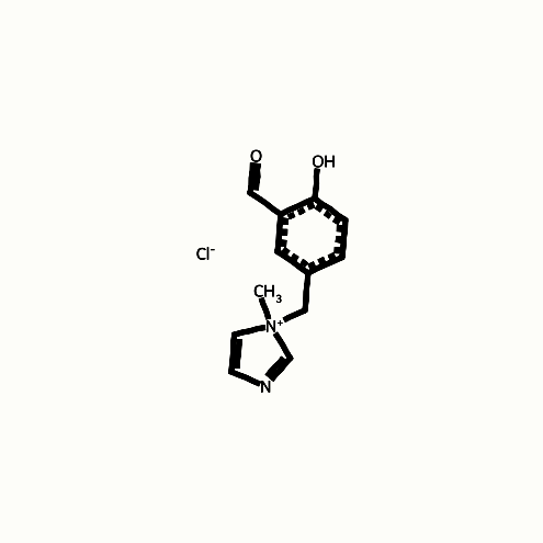 C[N+]1(Cc2ccc(O)c(C=O)c2)C=CN=C1.[Cl-]